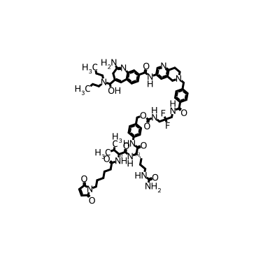 CCCN(CCC)C(O)C1=Cc2ccc(C(=O)Nc3cnc4c(c3)CN(Cc3ccc(C(=O)NCC(F)(F)CNC(=O)OCc5ccc(NC(=O)[C@H](CCCNC(N)=O)NC(=O)[C@@H](NC(=O)CCCCCN6C(=O)C=CC6=O)C(C)C)cc5)cc3)CC4)cc2N=C(N)C1